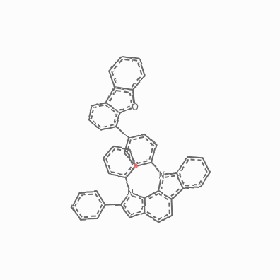 c1ccc(-c2cc3ccc4c5ccccc5n(-c5ccc(-c6cccc7c6oc6ccccc67)cc5)c4c3n2-c2ccccc2)cc1